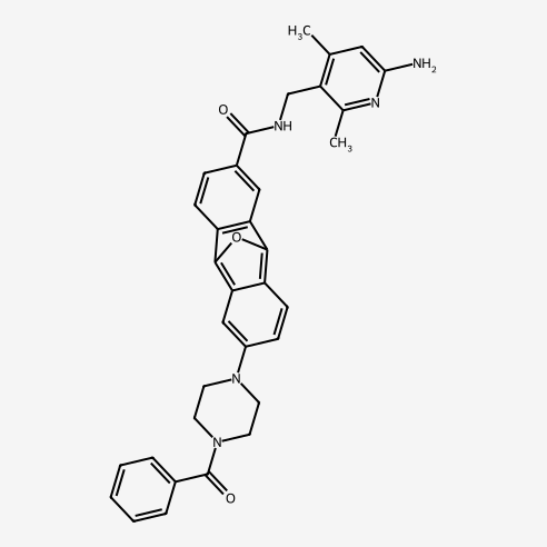 Cc1cc(N)nc(C)c1CNC(=O)c1ccc2c(c1)c1oc2c2cc(N3CCN(C(=O)c4ccccc4)CC3)ccc21